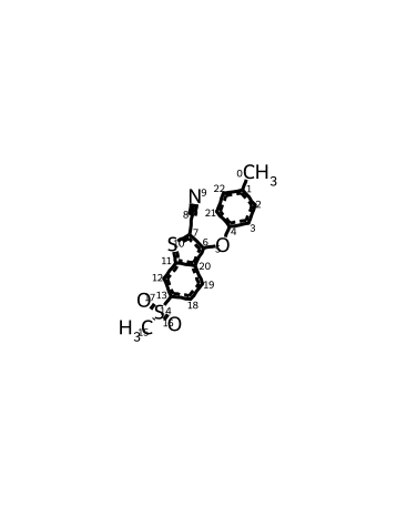 Cc1ccc(Oc2c(C#N)sc3cc(S(C)(=O)=O)ccc23)cc1